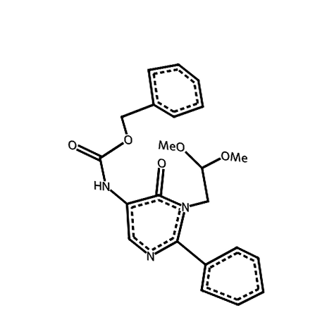 COC(Cn1c(-c2ccccc2)ncc(NC(=O)OCc2ccccc2)c1=O)OC